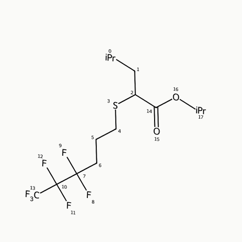 CC(C)CC(SCCCC(F)(F)C(F)(F)C(F)(F)F)C(=O)OC(C)C